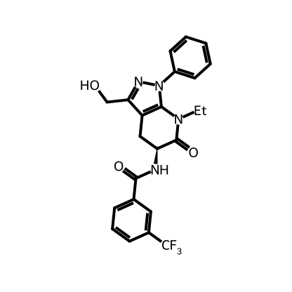 CCN1C(=O)[C@@H](NC(=O)c2cccc(C(F)(F)F)c2)Cc2c(CO)nn(-c3ccccc3)c21